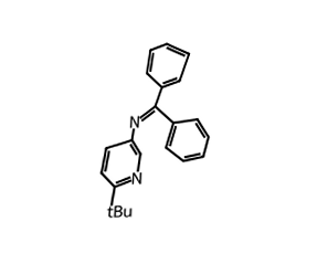 CC(C)(C)c1ccc(N=C(c2ccccc2)c2ccccc2)cn1